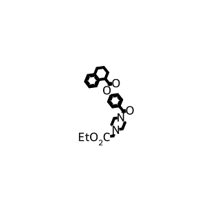 CCOC(=O)CN1CCN(C(=O)c2ccc(OC(=O)C3CCCc4ccccc43)cc2)CC1